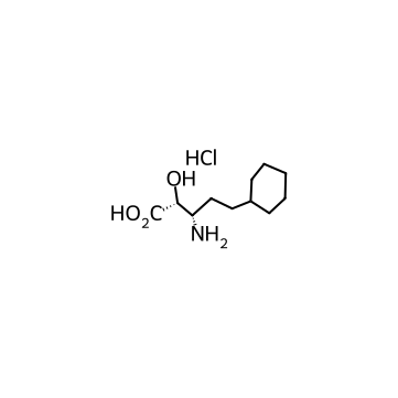 Cl.N[C@@H](CCC1CCCCC1)[C@@H](O)C(=O)O